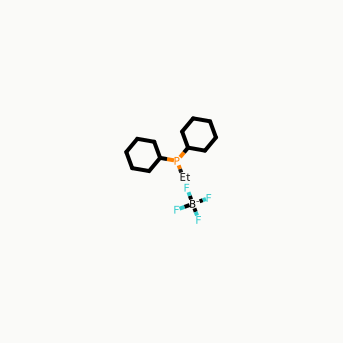 F[B-](F)(F)F.[CH2]CP(C1CCCCC1)C1CCCCC1